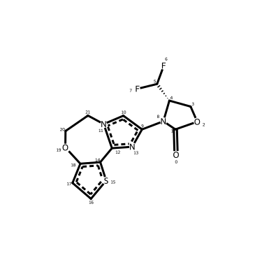 O=C1OC[C@@H](C(F)F)N1c1cn2c(n1)-c1sccc1OCC2